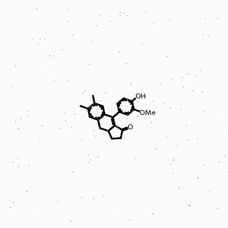 COc1cc(C2=C3C(=O)CCC3Cc3cc(C)c(C)cc32)ccc1O